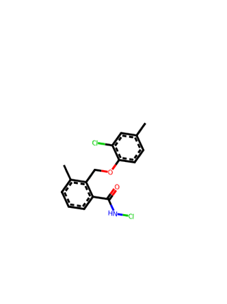 Cc1ccc(OCc2c(C)cccc2C(=O)NCl)c(Cl)c1